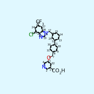 O=C(O)c1cncc(OCc2ccc(-c3cccc(Cn4cnc5c(Cl)cc(C(F)(F)F)cc54)c3)cc2)c1